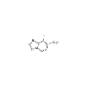 Cc1c(C(=O)O)ccc2snnc12